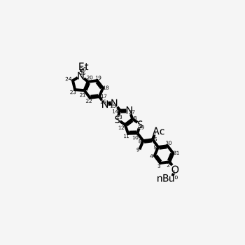 CCCCOc1ccc(/C(C(C)=O)=C(\C)c2cc3sc(/N=N/c4ccc5c(c4)CCN5CC)nc3s2)cc1